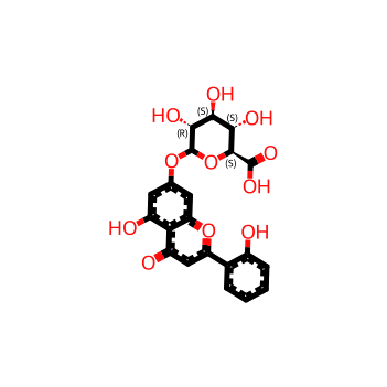 O=C(O)[C@H]1OC(Oc2cc(O)c3c(=O)cc(-c4ccccc4O)oc3c2)[C@H](O)[C@@H](O)[C@@H]1O